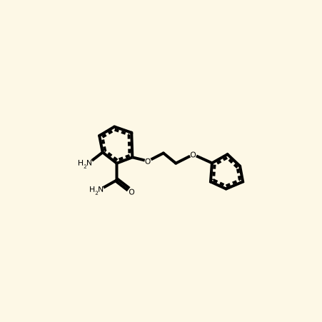 NC(=O)c1c(N)cccc1OCCOc1ccccc1